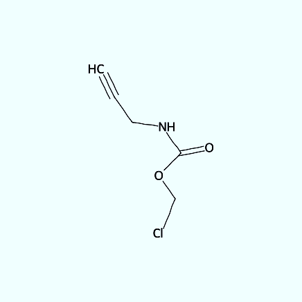 C#CCNC(=O)OCCl